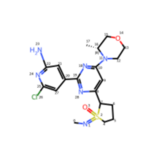 CN=S1(=O)CCCC1c1cc(N2CCOC[C@H]2C)nc(-c2cc(N)nc(Cl)c2)n1